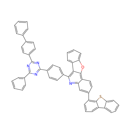 c1ccc(-c2ccc(-c3nc(-c4ccccc4)nc(-c4ccc(-c5nc6cc(-c7cccc8c7sc7ccccc78)ccc6c6oc7ccccc7c56)cc4)n3)cc2)cc1